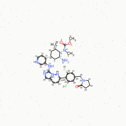 COC(=O)N(C)[C@@H]1[C@H](N)C[C@H](c2ccncc2Nc2ncc3ccc(-c4c(F)cc(CN5CCCC5=O)cc4F)nn23)C[C@@H]1C